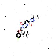 Cc1cn(-c2ccc3n(c2=O)CCN(CCOc2ccc(F)cc2[Si](C)(C)C)C3=O)cn1